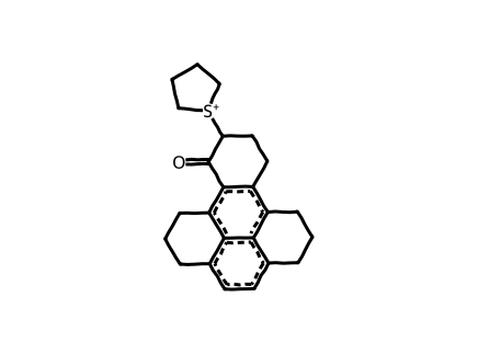 O=C1c2c(c3c4c(ccc5c4c2CCC5)CCC3)CCC1[S+]1CCCC1